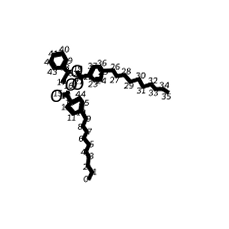 CCCCCCCCCCc1ccc(C(=O)OCC(OC(=O)c2ccc(CCCCCCCCCC)cc2)c2ccccc2)cc1